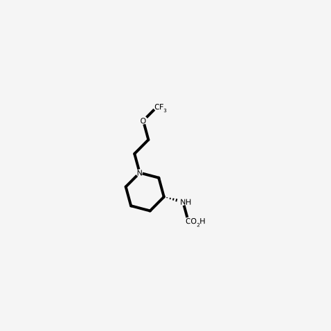 O=C(O)N[C@@H]1CCCN(CCOC(F)(F)F)C1